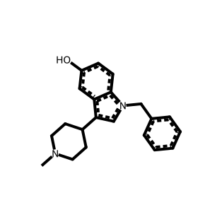 CN1CCC(c2cn(Cc3ccccc3)c3ccc(O)cc23)CC1